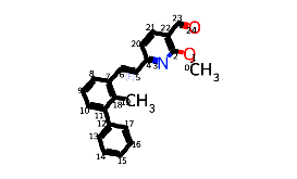 COc1nc(/C=C/c2cccc(-c3ccccc3)c2C)ccc1C=O